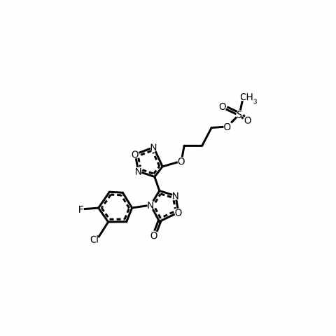 CS(=O)(=O)OCCCOc1nonc1-c1noc(=O)n1-c1ccc(F)c(Cl)c1